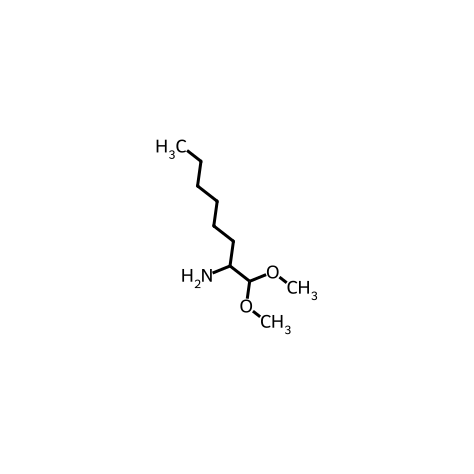 CCCCCCC(N)C(OC)OC